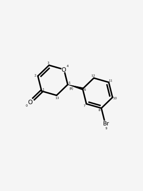 O=C1C=CO[C@@H](C2C=C(Br)C=CC2)C1